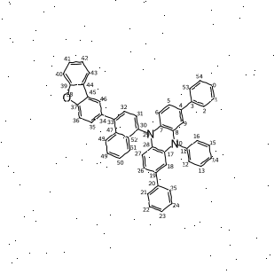 c1ccc(-c2ccc3c(c2)N(c2ccccc2)c2cc(-c4ccccc4)ccc2N3c2ccc(-c3ccc4oc5ccccc5c4c3)c3ccccc23)cc1